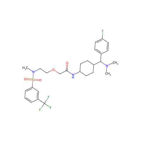 CN(C)C(c1ccc(F)cc1)C1CCC(NC(=O)COCCN(C)S(=O)(=O)c2cccc(C(F)(F)F)c2)CC1